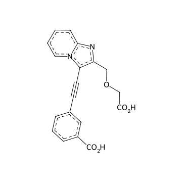 O=C(O)COCc1nc2ccccn2c1C#Cc1cccc(C(=O)O)c1